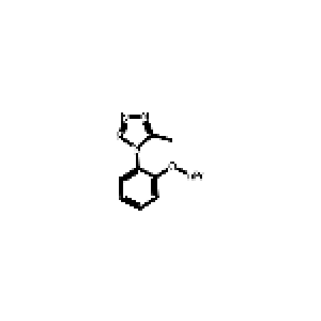 CCCOc1ccccc1-n1nnnc1C